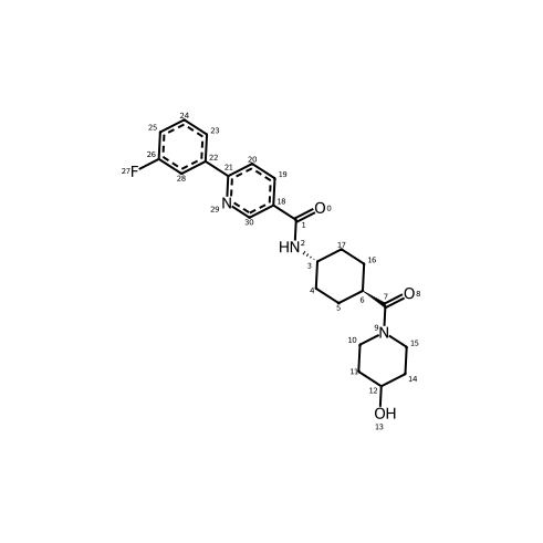 O=C(N[C@H]1CC[C@H](C(=O)N2CCC(O)CC2)CC1)c1ccc(-c2cccc(F)c2)nc1